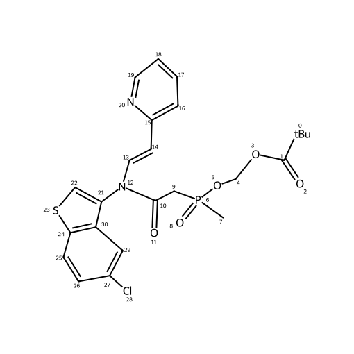 CC(C)(C)C(=O)OCOP(C)(=O)CC(=O)N(/C=C/c1ccccn1)c1csc2ccc(Cl)cc12